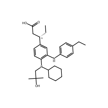 CCc1ccc(Nc2cc([C@@H](CC)CC(=O)O)ccc2N(CC(C)(C)O)C2CCCCC2)cc1